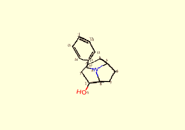 OC1CCCC2CCC1N2Cc1ccccc1